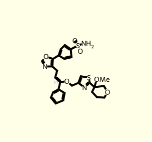 COC1(c2nc(CO/C(=C\Cc3ncoc3-c3ccc(S(N)(=O)=O)cc3)c3ccccc3)cs2)CCCOC1